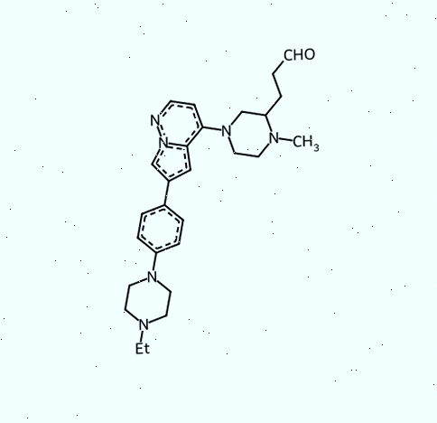 CCN1CCN(c2ccc(-c3cc4c(N5CCN(C)C(CCC=O)C5)ccnn4c3)cc2)CC1